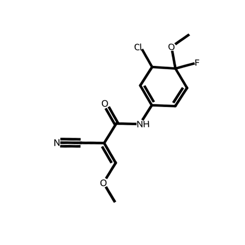 COC=C(C#N)C(=O)NC1=CC(Cl)C(F)(OC)C=C1